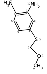 COCSc1ccc(N)c(N)c1